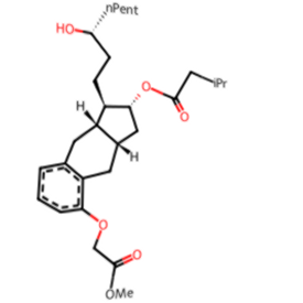 CCCCC[C@@H](O)CC[C@@H]1[C@H]2Cc3cccc(OCC(=O)OC)c3C[C@H]2C[C@H]1OC(=O)CC(C)C